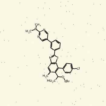 Cc1cc2nc(-c3cccc(-c4cnc(N(C)C)nc4)c3)sc2c(-c2ccc(Cl)cc2)c1C(OC(C)(C)C)C(=O)O